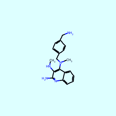 CNc1c(N)nc2ccccc2c1N(C)Cc1ccc(CN)cc1